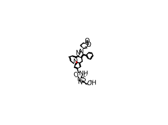 O=C(Nc1nnc(CO)s1)c1cccc(Cc2c(-c3ccccn3)nn(C3CCS(=O)(=O)C3)c2-c2ccccc2)c1